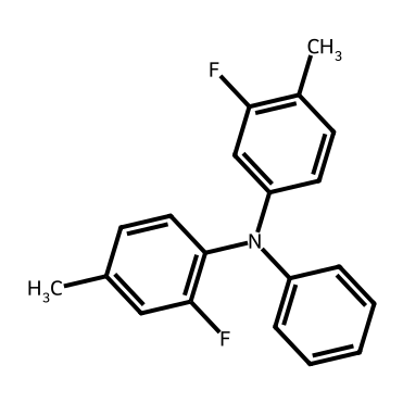 Cc1ccc(N(c2ccccc2)c2ccc(C)c(F)c2)c(F)c1